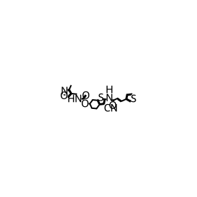 Cc1nocc1CNC(=O)OC1CCc2c(sc(NC(=O)C=Cc3ccsc3)c2C#N)C1